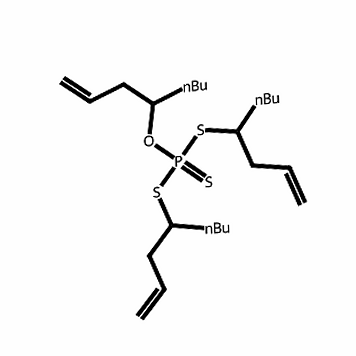 C=CCC(CCCC)OP(=S)(SC(CC=C)CCCC)SC(CC=C)CCCC